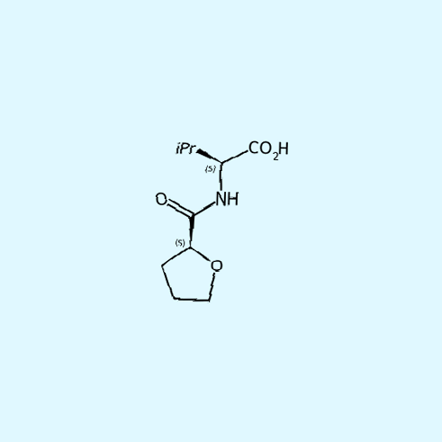 CC(C)[C@H](NC(=O)[C@@H]1CCCO1)C(=O)O